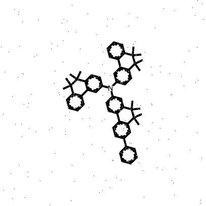 CC1(C)c2ccccc2-c2cc(N(c3ccc4c(c3)-c3ccccc3C(C)(C)C4(C)C)c3ccc4c(c3)C(C)(C)C(C)(C)c3cc(-c5ccccc5)ccc3-4)ccc2C1(C)C